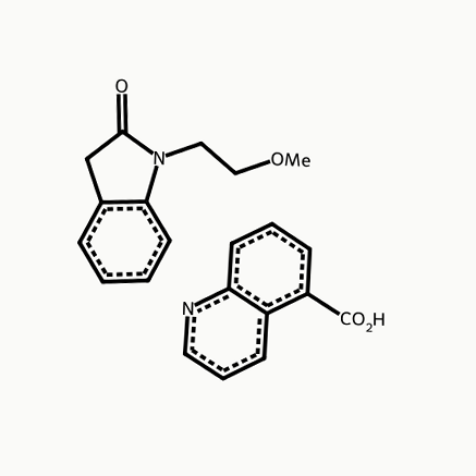 COCCN1C(=O)Cc2ccccc21.O=C(O)c1cccc2ncccc12